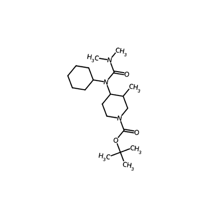 CC1CN(C(=O)OC(C)(C)C)CCC1N(C(=O)N(C)C)C1CCCCC1